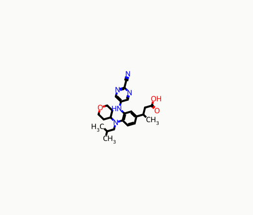 CC(C)CN(c1ccc(C(C)CC(=O)O)cc1Nc1cnc(C#N)nc1)C1CCOCC1